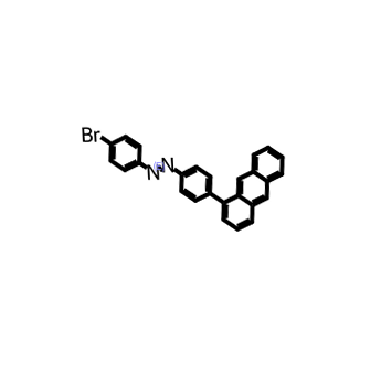 Brc1ccc(/N=N/c2ccc(-c3cccc4cc5ccccc5cc34)cc2)cc1